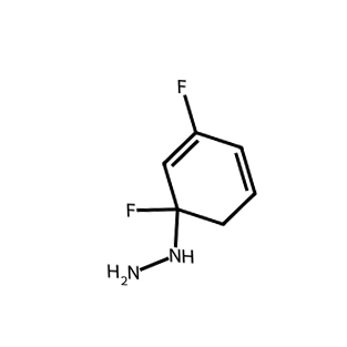 NNC1(F)C=C(F)C=CC1